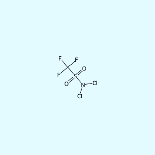 O=S(=O)(N(Cl)Cl)C(F)(F)F